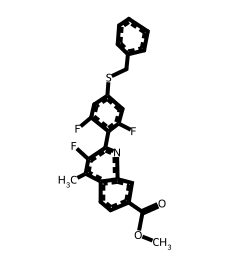 COC(=O)c1ccc2c(C)c(F)c(-c3c(F)cc(SCc4ccccc4)cc3F)nc2c1